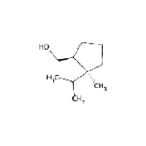 CC(C)[C@]1(C)CCC[C@@H]1CO